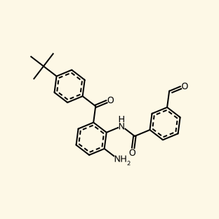 CC(C)(C)c1ccc(C(=O)c2cccc(N)c2NC(=O)c2cccc(C=O)c2)cc1